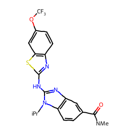 CNC(=O)c1ccc2c(c1)nc(Nc1nc3ccc(OC(F)(F)F)cc3s1)n2C(C)C